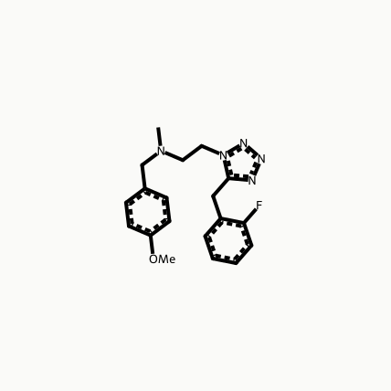 COc1ccc(CN(C)CCn2nnnc2Cc2ccccc2F)cc1